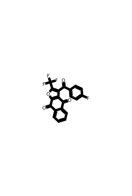 O=C1c2ccccc2C(=O)c2c1oc(C(F)(F)F)c2C(=O)c1ccc(F)cc1